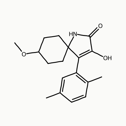 COC1CCC2(CC1)NC(=O)C(O)=C2c1cc(C)ccc1C